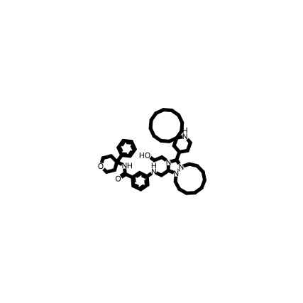 O=C(NC1(c2ccccc2)CCOCC1)c1cccc(NCC2N(CCO)C(C3CCNC4(CCCCCCCCCCC4)C3)N3CCCCCCCCCN23)c1